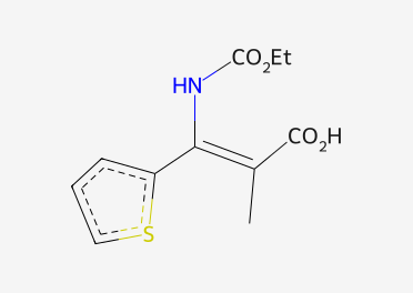 CCOC(=O)NC(=C(C)C(=O)O)c1cccs1